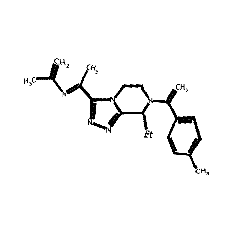 C=C(C)/N=C(\C)c1nnc2n1CCN(C(=C)c1ccc(C)cc1)C2CC